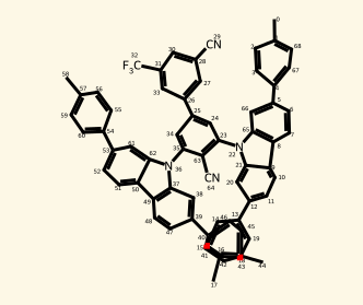 Cc1ccc(-c2ccc3c4ccc(-c5ccc(C)cc5)cc4n(-c4cc(-c5cc(C#N)cc(C(F)(F)F)c5)cc(-n5c6cc(-c7ccc(C)cc7)ccc6c6ccc(-c7ccc(C)cc7)cc65)c4C#N)c3c2)cc1